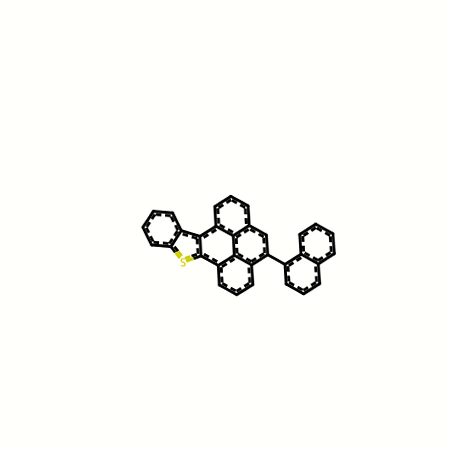 c1ccc2c(-c3cc4cccc5c6c7ccccc7sc6c6cccc3c6c45)cccc2c1